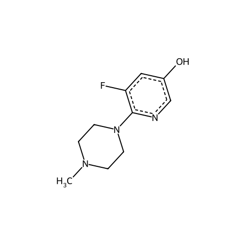 CN1CCN(c2ncc(O)cc2F)CC1